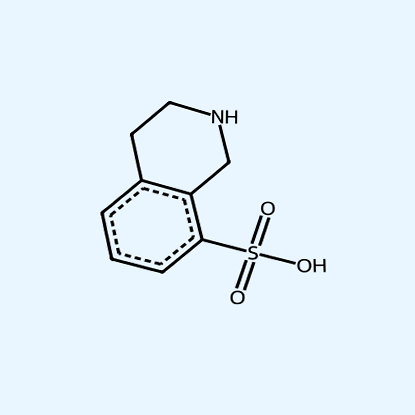 O=S(=O)(O)c1cccc2c1CNCC2